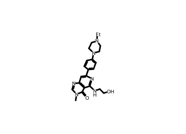 CCN1CCN(c2ccc(-c3cc4ncn(C)c(=O)c4c(NCCO)n3)cc2)CC1